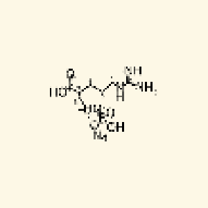 N=C(N)NCCCC(N)C(=O)O.O=P([O-])(O)O.[Na+]